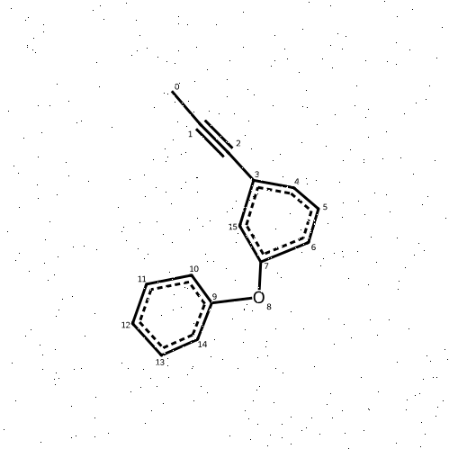 CC#Cc1cccc(Oc2ccccc2)c1